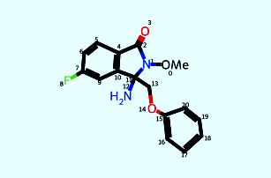 CON1C(=O)c2ccc(F)cc2C1(N)COc1ccccc1